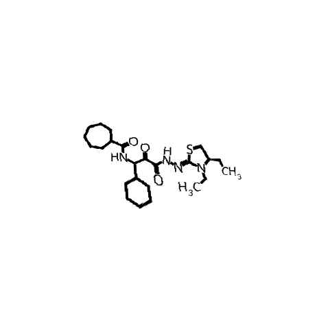 CC[C@@H]1CSC(=NNC(=O)C(=O)C(NC(=O)C2CCCCCC2)C2CCCCC2)N1CC